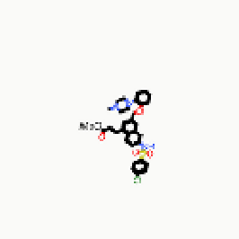 COC(=O)CCc1cc(COc2ccccc2N2CCN(C)CC2)cc2c1CCC(NS(=O)(=O)c1ccc(Cl)cc1)C2